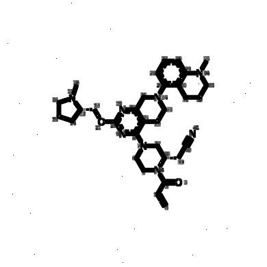 C=CC(=O)N1CCN(c2nc(OC[C@@H]3CCCN3C)nc3c2CCN(c2cccc4c2CCCN4C)C3)C[C@@H]1CC#N